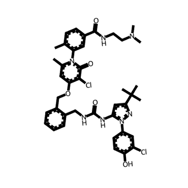 Cc1ccc(C(=O)NCCN(C)C)cc1-n1c(C)cc(OCc2ccccc2CNC(=O)Nc2cc(C(C)(C)C)nn2-c2ccc(O)c(Cl)c2)c(Cl)c1=O